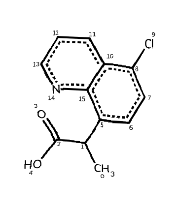 CC(C(=O)O)c1ccc(Cl)c2cccnc12